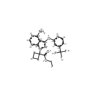 CCOC(=O)C1(n2nc(Oc3cc(C(F)(F)F)ccn3)c3c(N)ncnc32)CCC1